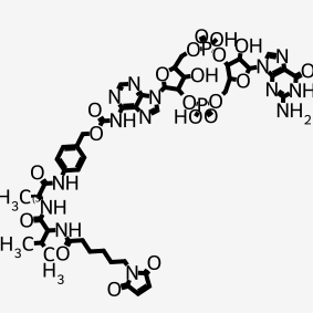 CC(C)C(NC(=O)CCCCCN1C(=O)C=CC1=O)C(=O)N[C@@H](C)C(=O)Nc1ccc(COC(=O)Nc2ncnc3c2ncn3C2OC3COP(=O)(O)OC4C(COP(=O)(O)OC2C3O)OC(n2cnc3c(=O)[nH]c(N)nc32)C4O)cc1